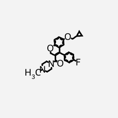 CN1CCN(C(=O)C2=C(c3ccc(F)cc3)c3cc(OCC4CC4)ccc3OC2)CC1